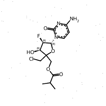 CC(C)C(=O)OCC1(CCl)O[C@@H](n2ccc(N)nc2=O)[C@H](F)[C@@H]1O